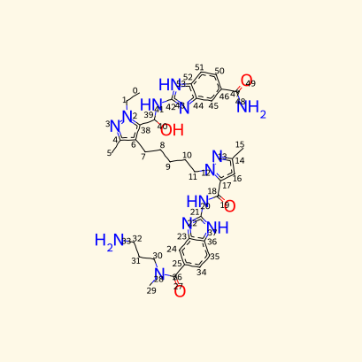 CCn1nc(C)c(CCCCCn2nc(C)cc2C(=O)Nc2nc3cc(C(=O)N(C)CCCN)ccc3[nH]2)c1C(O)Nc1nc2cc(C(N)=O)ccc2[nH]1